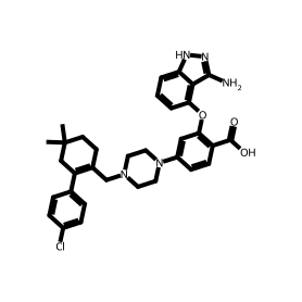 CC1(C)CCC(CN2CCN(c3ccc(C(=O)O)c(Oc4cccc5[nH]nc(N)c45)c3)CC2)=C(c2ccc(Cl)cc2)C1